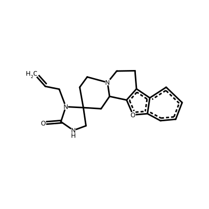 C=CCN1C(=O)NCC12CCN1CCc3c(oc4ccccc34)C1C2